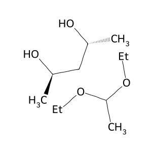 CCOC(C)OCC.C[C@@H](O)C[C@@H](C)O